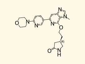 Cn1cnc2cc(-c3ccc(N4CCOCC4)nc3)nc(OCC[C@H]3CNC(=O)C3)c21